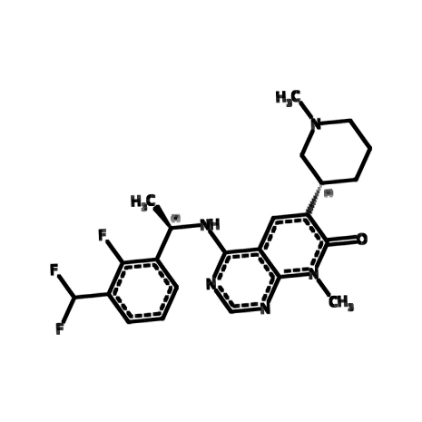 C[C@@H](Nc1ncnc2c1cc([C@H]1CCCN(C)C1)c(=O)n2C)c1cccc(C(F)F)c1F